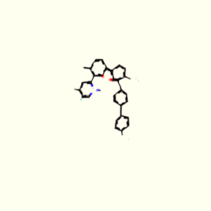 Cc1ccc2c(oc3c(-c4ccc(-c5ccc(C(C)(C)C)cc5)cc4)c(C#N)ccc32)c1-c1cc(C(C)(C)C)c(F)c[n+]1C